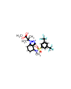 COC(=O)C(C)(C)n1ncc2c1CCCC2N(C)S(=O)(=O)c1cc(C(F)(F)F)cc(C(F)(F)F)c1